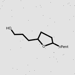 CCCCCC1CCC(CCCO)O1